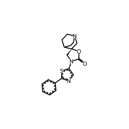 O=C1O[C@]2(CN3CCC2CC3)CN1c1cnc(-c2ccccc2)s1